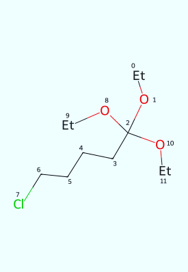 CCOC(CCCCCl)(OCC)OCC